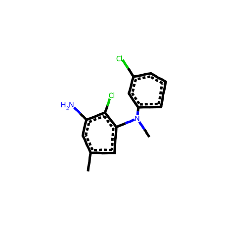 Cc1cc(N)c(Cl)c(N(C)c2cccc(Cl)c2)c1